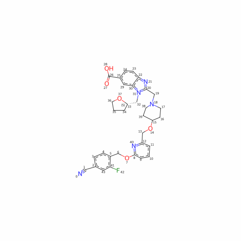 N#Cc1ccc(COc2cccc(COC3CCN(Cc4nc5ccc(C(=O)O)cc5n4C[C@@H]4CCCO4)CC3)n2)c(F)c1